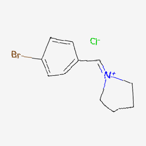 Brc1ccc(C=[N+]2CCCC2)cc1.[Cl-]